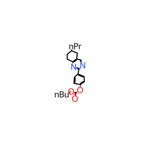 CCCCOC(=O)Oc1ccc(-c2ncc3c(n2)CCC(CCC)C3)cc1